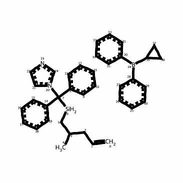 C=CCC(C)C[SiH2]C(c1ccccc1)(c1ccccc1)n1ccnc1.c1ccc(B(c2ccccc2)C2CC2)cc1